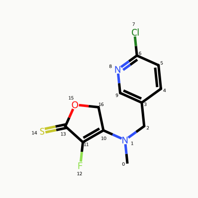 CN(Cc1ccc(Cl)nc1)C1=C(F)C(=S)OC1